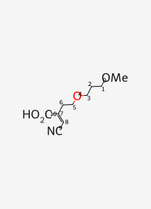 COCCCOCCC(=CC#N)C(=O)O